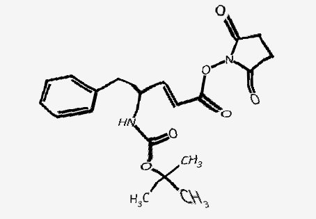 CC(C)(C)OC(=O)NC(C=CC(=O)ON1C(=O)CCC1=O)Cc1ccccc1